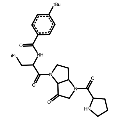 CC(C)CC(NC(=O)c1ccc(C(C)(C)C)cc1)C(=O)N1CCC2C1C(=O)CN2C(=O)C1CCCN1